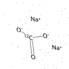 O=[12C]([O-])[O-].[Na+].[Na+]